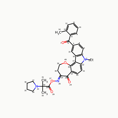 CCn1c2ccc(C(=O)c3ccccc3C)cc2c2c3c(ccc21)C(=O)/C(=N/OC(=O)C(C)(C)N1CCCC1)CCO3